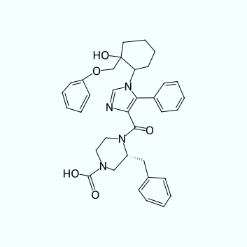 O=C(O)N1CCN(C(=O)c2ncn(C3CCCCC3(O)COc3ccccc3)c2-c2ccccc2)[C@H](Cc2ccccc2)C1